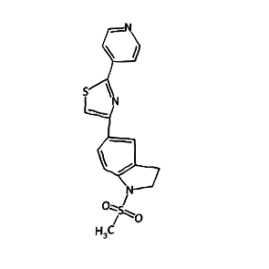 CS(=O)(=O)N1CCc2cc(-c3csc(-c4ccncc4)n3)ccc21